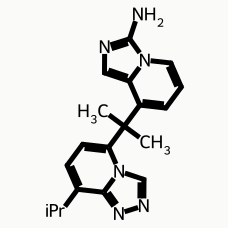 CC(C)c1ccc(C(C)(C)c2cccn3c(N)ncc23)n2cnnc12